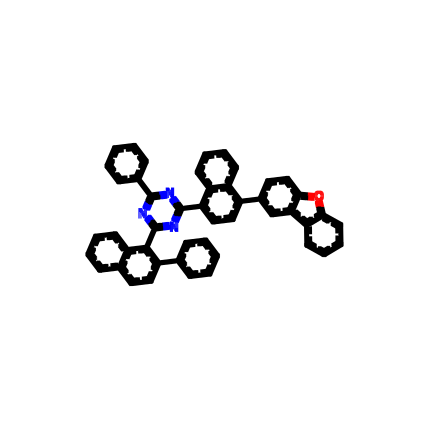 c1ccc(-c2nc(-c3c(-c4ccccc4)ccc4ccccc34)nc(-c3ccc(-c4ccc5oc6ccccc6c5c4)c4ccccc34)n2)cc1